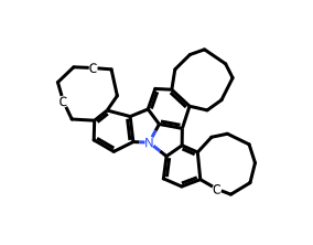 c1cc2c(c3c1CCCCCCC3)c1cc3c(c4c5c6c(ccc5n2c14)CCCCCCC6)CCCCCCC3